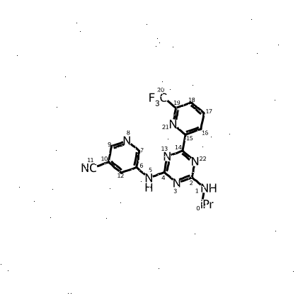 CC(C)Nc1nc(Nc2cncc(C#N)c2)nc(-c2cccc(C(F)(F)F)n2)n1